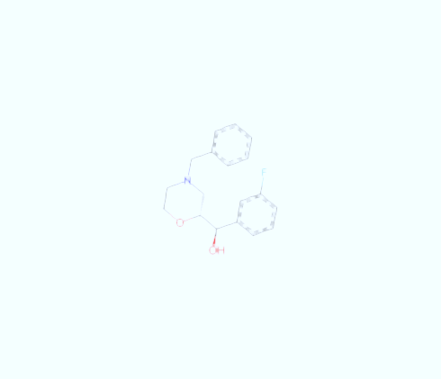 O[C@H](c1cccc(F)c1)[C@H]1CN(Cc2ccccc2)CCO1